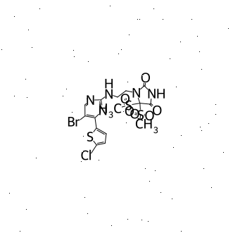 CS(=O)(=O)C1(S(C)(=O)=O)C(=O)NC(=O)N1CCNc1ncc(Br)c(-c2ccc(Cl)s2)n1